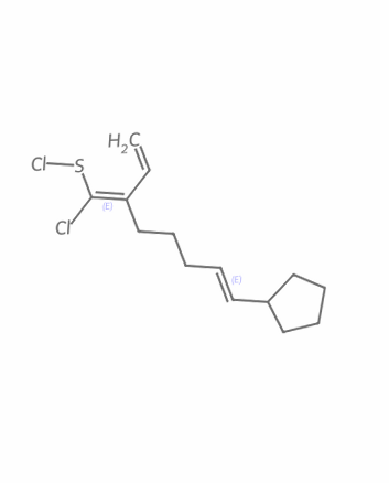 C=C/C(CCC/C=C/C1CCCC1)=C(/Cl)SCl